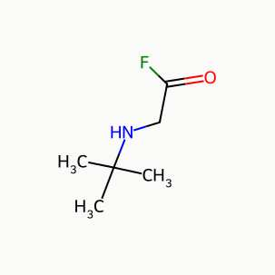 CC(C)(C)NCC(=O)F